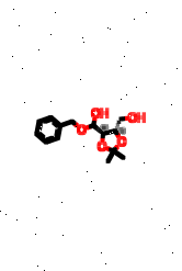 CC1(C)O[C@@H](CO)[C@H](C(O)OCc2ccccc2)O1